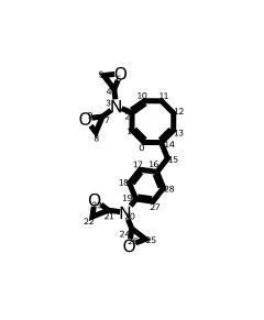 C1=C\C(N(C2CO2)C2CO2)=C/CC\C=C/1Cc1ccc(N(C2CO2)C2CO2)cc1